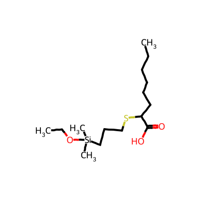 CCCCCCC(SCCC[Si](C)(C)OCC)C(=O)O